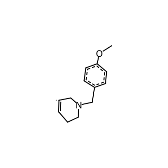 COc1ccc(CN2C[C]=CCC2)cc1